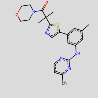 Cc1cc(Nc2nccc(C(F)(F)F)n2)cc(-c2cnc(C(C)(C)C(=O)N3CCOCC3)s2)c1